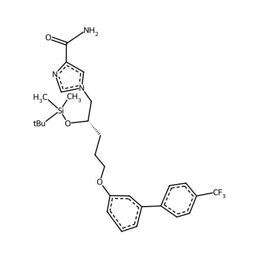 CC(C)(C)[Si](C)(C)O[C@@H](CCCOc1cccc(-c2ccc(C(F)(F)F)cc2)c1)Cn1cnc(C(N)=O)c1